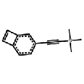 C[Si](C)(C)C#Cc1ccc2c(c1)C=C2